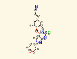 Cc1cc(/C=C/C#N)cc(C)c1Oc1nc(Cl)nc2nn(C3CCOCC3)cc12